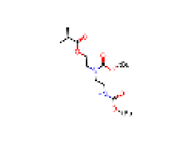 C=C(C)C(=O)OCCN(CCNC(=O)OC(C)(C)C)C(=O)OC(C)(C)C